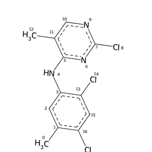 Cc1cc(Nc2nc(Cl)ncc2C)c(Cl)cc1Cl